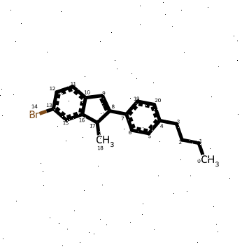 CCCCc1ccc(C2=Cc3ccc(Br)cc3C2C)cc1